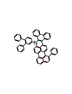 c1ccc(-c2ccc(N(c3ccc(-c4ccccc4)c(-c4ccccc4)c3)c3c(-c4ccc(-c5ccccc5-c5ccccc5)cc4)c4ccccc4c4ccccc34)cc2)cc1